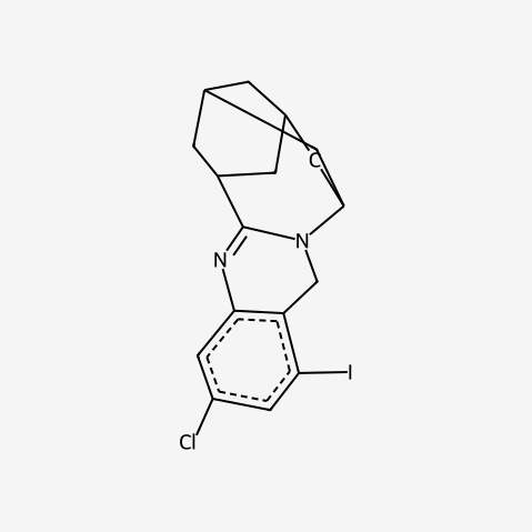 Clc1cc(I)c2c(c1)N=C1C3CC4CC(C3)CC(C4)N1C2